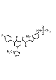 Cn1cccc1-c1cc(NC(=O)c2cc3ccc(NS(C)(=O)=O)cc3[nH]2)c(F)c(-c2ccc(F)cc2)c1